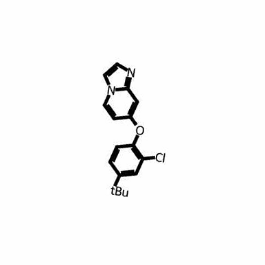 CC(C)(C)c1ccc(Oc2ccn3ccnc3c2)c(Cl)c1